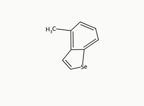 Cc1cccc2[se]ccc12